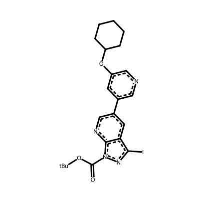 CC(C)(C)OC(=O)n1nc(I)c2cc(-c3cncc(OC4CCCCC4)c3)cnc21